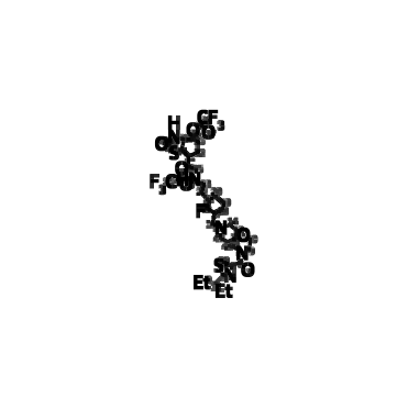 CCC(CC)c1nc(C(=O)N2CCOC3(CCN(Cc4cccc(CCNCC(OC(=O)C(F)(F)F)c5ccc(OC(=O)C(F)(F)F)c6[nH]c(=O)sc56)c4F)CC3)C2)cs1